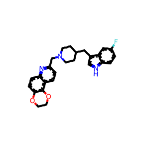 Fc1ccc2[nH]cc(CC3CCN(Cc4ccc5c6c(ccc5n4)OCCO6)CC3)c2c1